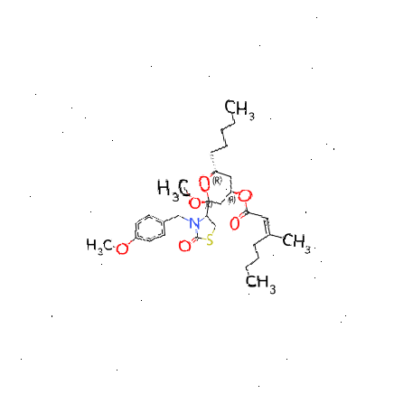 CCCCC[C@@H]1C[C@@H](OC(=O)C=C(C)CCCC)C[C@](OC)(C2CSC(=O)N2Cc2ccc(OC)cc2)O1